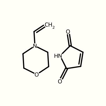 C=CN1CCOCC1.O=C1C=CC(=O)N1